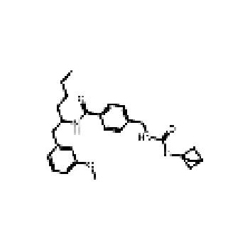 CCCCC(Cc1cccc(OC)c1)NC(=O)c1ccc(CNC(=O)OC23CC(C2)C3)cc1